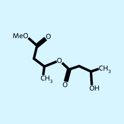 COC(=O)CC(C)OC(=O)CC(C)O